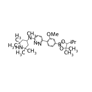 COc1cc(B2OC(C(C)C)C(C)(C)O2)ccc1-c1ccc(N(C)C2CC(C)(C)NC(C)(C)C2)nn1